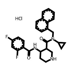 Cl.O=C(NC1CCNCC1C(=O)N(Cc1cccc2ccccc12)C1CC1)c1ccc(F)cc1F